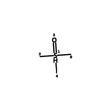 C[SH](C)(=O)I